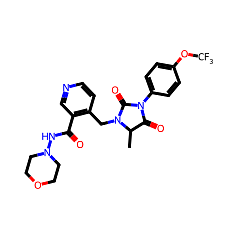 CC1C(=O)N(c2ccc(OC(F)(F)F)cc2)C(=O)N1Cc1ccncc1C(=O)NN1CCOCC1